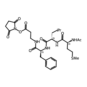 CSCC[C@H](NC(C)=O)C(=O)N[C@@H](CC(C)C)C(=O)N[C@@H](Cc1ccccc1)C(=O)NCCC(=O)ON1C(=O)CCC1=O